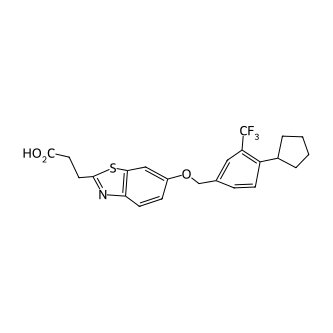 O=C(O)CCc1nc2ccc(OCc3ccc(C4CCCC4)c(C(F)(F)F)c3)cc2s1